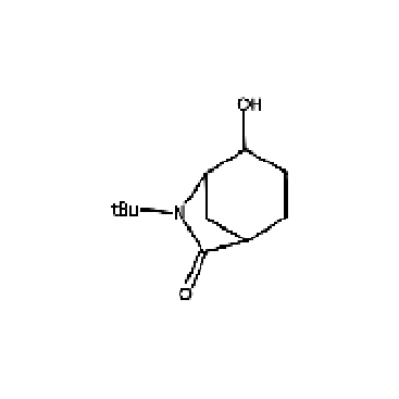 CC(C)(C)N1C(=O)C2CCC(O)C1C2